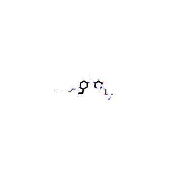 COCCn1ccc2cc(Nc3cnn(CC(=O)N(C)C)c(=O)c3Cl)ccc21